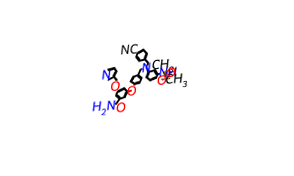 Cc1c(NS(C)(=O)=O)cccc1N(Cc1ccc(C#N)cc1)Cc1ccc(Oc2cc(OCc3cccnc3)cc(C(N)=O)c2)cc1